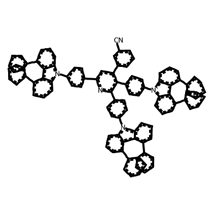 N#Cc1cccc(-c2cc(-c3ccc(-n4c5cccc(-c6ccccc6)c5c5c(-c6ccccc6)cccc54)cc3)nc(-c3ccc(-n4c5cccc(-c6ccccc6)c5c5c(-c6ccccc6)cccc54)cc3)c2-c2ccc(-n3c4cccc(-c5ccccc5)c4c4c(-c5ccccc5)cccc43)cc2)c1